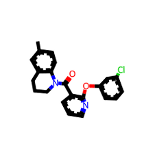 Cc1ccc2c(c1)CCCN2C(=O)c1cccnc1Oc1cccc(Cl)c1